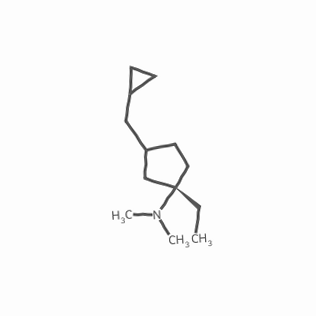 CC[C@]1(N(C)C)CCC(CC2CC2)C1